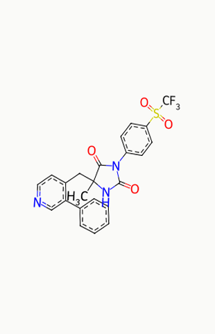 CC1(Cc2ccncc2-c2ccccc2)NC(=O)N(c2ccc(S(=O)(=O)C(F)(F)F)cc2)C1=O